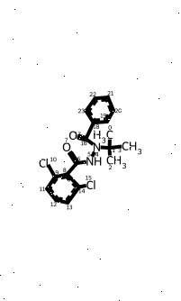 CC(C)(C)N(NC(=O)c1c(Cl)cccc1Cl)C(=O)c1ccccc1